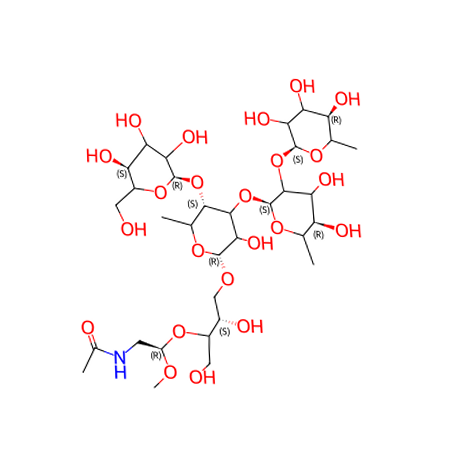 CO[C@@H](CNC(C)=O)OC(CO)[C@@H](O)CO[C@@H]1OC(C)[C@H](O[C@H]2OC(CO)[C@@H](O)C(O)C2O)C(O[C@@H]2OC(C)[C@H](O)C(O)C2O[C@@H]2OC(C)[C@H](O)C(O)C2O)C1O